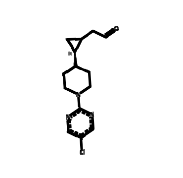 O=CCC1C[C@@H]1C1CCN(c2ncc(Cl)cn2)CC1